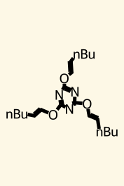 CCCCC=COc1nc(OC=CCCCC)nc(OC=CCCCC)n1